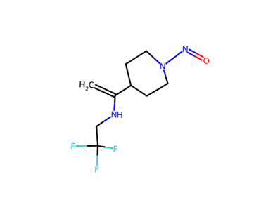 C=C(NCC(F)(F)F)C1CCN(N=O)CC1